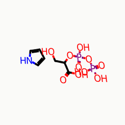 O=C(O)C(CO)OP(=O)(O)OP(=O)(O)O.c1cc[nH]c1